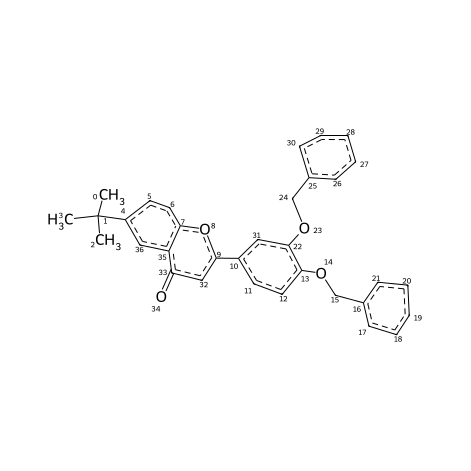 CC(C)(C)c1ccc2oc(-c3ccc(OCc4ccccc4)c(OCc4ccccc4)c3)cc(=O)c2c1